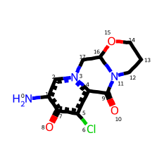 Nc1cn2c(c(Cl)c1=O)C(=O)N1CCCOC1C2